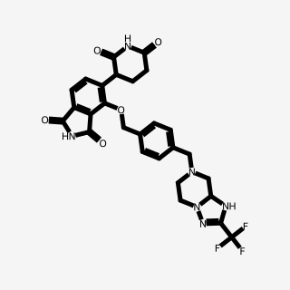 O=C1CCC(c2ccc3c(c2OCc2ccc(CN4CCN5N=C(C(F)(F)F)NC5C4)cc2)C(=O)NC3=O)C(=O)N1